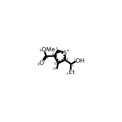 CCC(O)c1scc(C(=O)OC)c1C